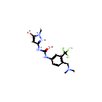 CN(C)Cc1ccc(NC(=O)Nc2cc(Br)n(C)n2)cc1C(F)(F)F